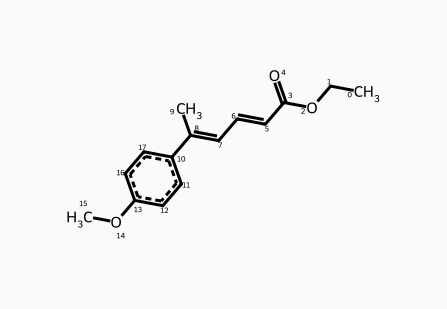 CCOC(=O)/C=C/C=C(\C)c1ccc(OC)cc1